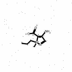 CCC[N+]1(C)N=CC(N)=C1C(=O)[O-]